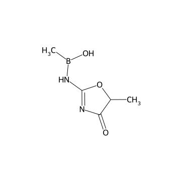 CB(O)NC1=NC(=O)C(C)O1